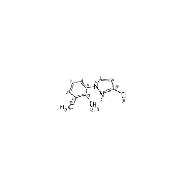 Cc1cccc(-n2c[c]c(Cl)n2)c1C